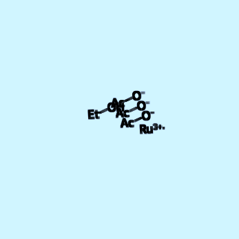 CC(=O)[O-].CC(=O)[O-].CC(=O)[O-].CCO.[Ru+3]